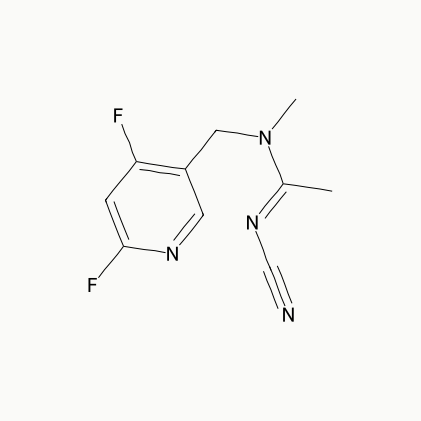 CC(=NC#N)N(C)Cc1cnc(F)cc1F